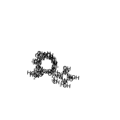 CCCCC(CNC(=O)CN1CCN(CC(=O)O)CCN(CC(=O)O)CCN(CC(=O)O)CC1)C(=O)N[C@H]1CSSC[C@@H](C(=O)N[C@@H](CC(=O)O)C(N)=O)NC(=O)[C@H](Cc2ccccc2)NC(=O)[C@H](CCC(=O)O)NC(=O)[C@H]([C@@H](C)O)NC(=O)[C@@H]2CCCN2C(=O)[C@@H]2CCCN2C1=O